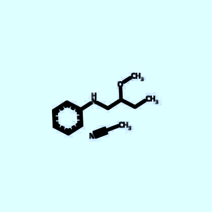 CC#N.CCC(CNc1ccccc1)OC